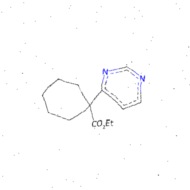 CCOC(=O)C1(c2ccn[c]n2)CCCCC1